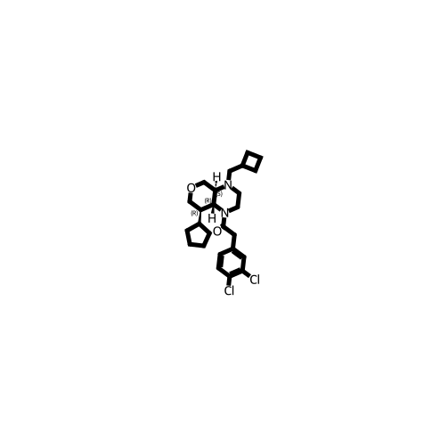 O=C(Cc1ccc(Cl)c(Cl)c1)N1CCN(CC2CCC2)[C@@H]2COC[C@H](C3CCCC3)[C@H]21